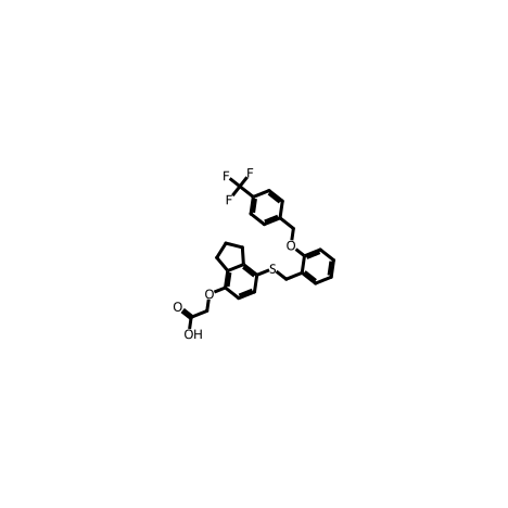 O=C(O)COc1ccc(SCc2ccccc2OCc2ccc(C(F)(F)F)cc2)c2c1CCC2